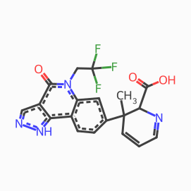 CC1(c2ccc3c4[nH]ncc4c(=O)n(CC(F)(F)F)c3c2)C=CC=NC1C(=O)O